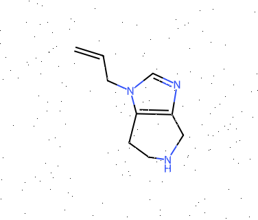 C=CCn1cnc2c1CCNC2